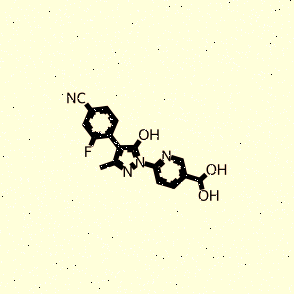 Cc1nn(-c2ccc(C(O)O)cn2)c(O)c1-c1ccc(C#N)cc1F